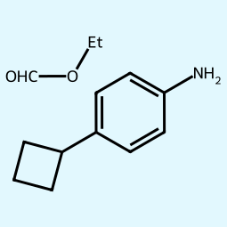 CCOC=O.Nc1ccc(C2CCC2)cc1